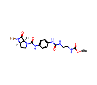 CC(C)(C)OC(=O)NCCNC(=O)Nc1ccc(NC(=O)N2CC[C@@H]3[C@H]2C(=O)N3S)cc1